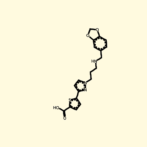 O=C(O)c1ccc(-c2ccn(CCCNCc3ccc4c(c3)OCO4)n2)s1